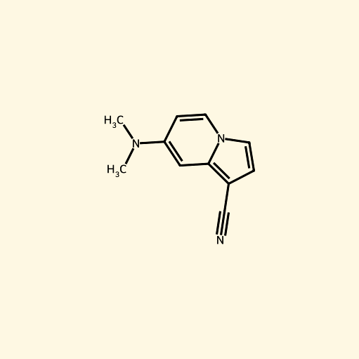 CN(C)c1ccn2ccc(C#N)c2c1